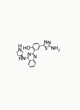 Nc1nnc(-c2ccc(O)c(-c3nc(N[C@H]4CCNC4)c4ccccc4n3)c2)s1